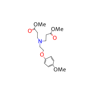 COC(=O)CCN(CCOc1ccc(OC)cc1)CCC(=O)OC